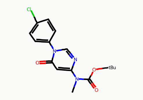 CN(C(=O)OC(C)(C)C)c1cc(=O)n(-c2ccc(Cl)cc2)cn1